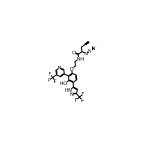 C#CCC(N=[N+]=[N-])C(=O)NCCOc1ccc(-c2cc(C(F)(F)F)n[nH]2)c(O)c1-c1cncc(C(F)(F)F)c1